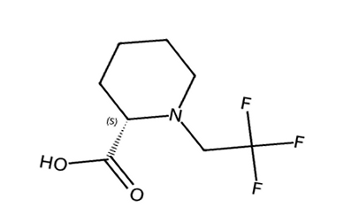 O=C(O)[C@@H]1CCCCN1CC(F)(F)F